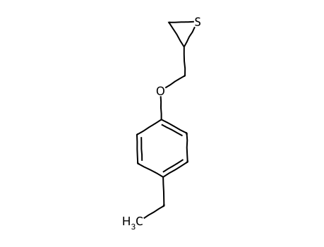 CCc1ccc(OCC2CS2)cc1